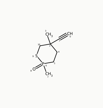 C#CC1(C)CCP(C)(=O)SC1